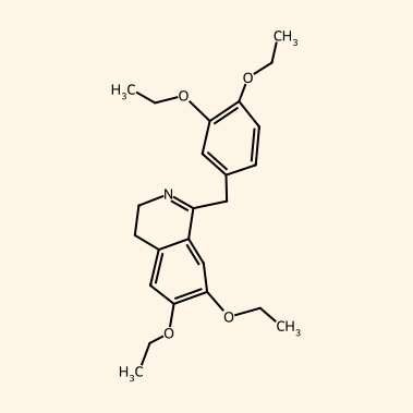 CCOc1ccc(CC2=NCCc3cc(OCC)c(OCC)cc32)cc1OCC